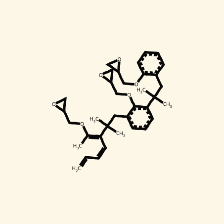 C=C/C=C\C(=C(/C)OCC1CO1)C(C)(C)Cc1cccc(C(C)(C)Cc2ccccc2OCC2CO2)c1OCC1CO1